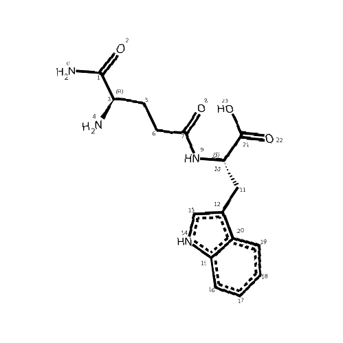 NC(=O)[C@H](N)CCC(=O)N[C@@H](Cc1c[nH]c2ccccc12)C(=O)O